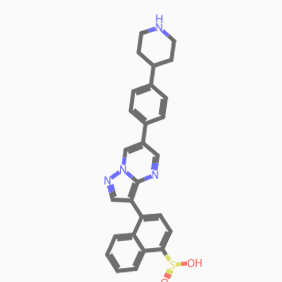 O=S(O)c1ccc(-c2cnn3cc(-c4ccc(C5CCNCC5)cc4)cnc23)c2ccccc12